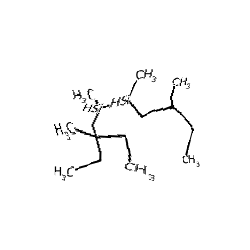 CCC(C)C[SiH](C)[SiH](C)C(C)(CC)CC